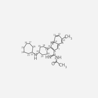 CC(=O)NC(=N)c1cc2cc(C)ccc2nc1N1CCC(NC2CCCCCC2)CC1